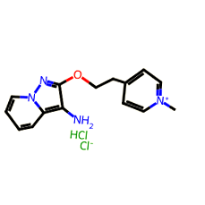 C[n+]1ccc(CCOc2nn3ccccc3c2N)cc1.Cl.[Cl-]